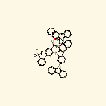 FC(F)(F)c1ccccc1-c1ccc(-c2nc(-c3ccccc3)nc(-c3ccccc3)n2)c(-n2c3cc(-n4c5ccccc5c5ccccc54)ccc3c3ccc(-n4c5ccccc5c5ccccc54)cc32)c1